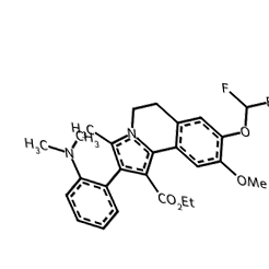 CCOC(=O)c1c(-c2ccccc2N(C)C)c(C)n2c1-c1cc(OC)c(OC(F)F)cc1CC2